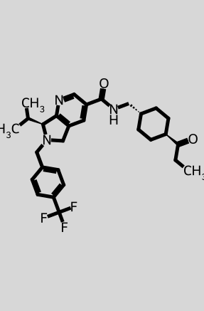 CCC(=O)[C@H]1CC[C@H](CNC(=O)c2cnc3c(c2)CN(Cc2ccc(C(F)(F)F)cc2)[C@H]3C(C)C)CC1